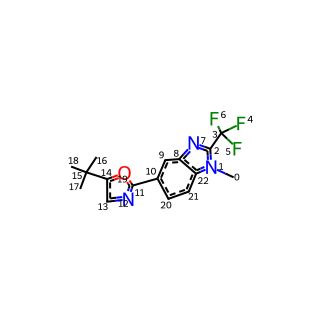 Cn1c(C(F)(F)F)nc2cc(-c3ncc(C(C)(C)C)o3)ccc21